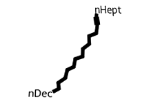 [CH2]CCCCCCC#CCCCCCCCCCCCCCCCCCCCC[CH2]